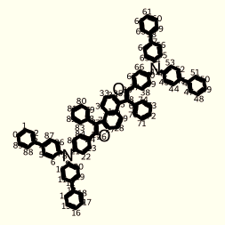 c1ccc(-c2ccc(N(c3ccc(-c4ccccc4)cc3)c3ccc(-c4oc5ccc6c(ccc7oc(-c8ccc(N(c9ccc(-c%10ccccc%10)cc9)c9ccc(-c%10ccccc%10)cc9)cc8)c(-c8ccccc8)c76)c5c4-c4ccccc4)cc3)cc2)cc1